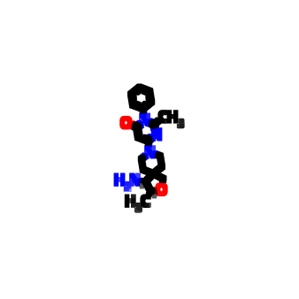 Cc1nc(N2CCC3(CC2)CO[C@@H](C)[C@H]3N)cc(=O)n1-c1ccccc1